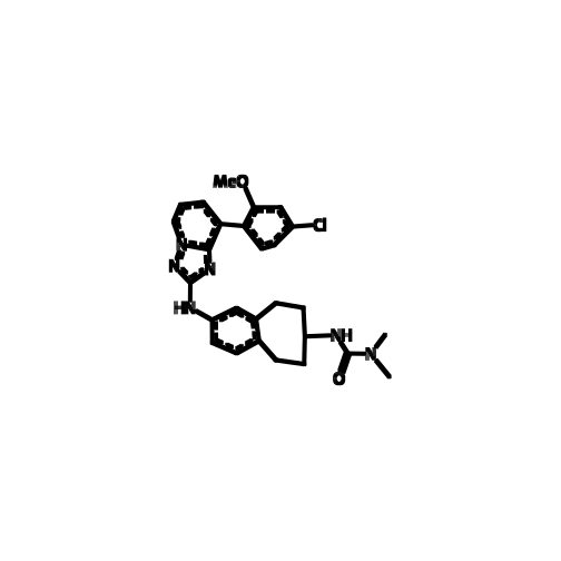 COc1cc(Cl)ccc1-c1cccn2nc(Nc3ccc4c(c3)CCC(NC(=O)N(C)C)CC4)nc12